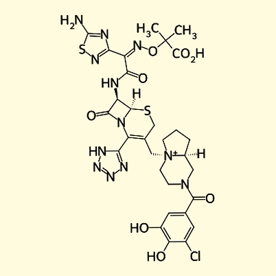 CC(C)(O/N=C(\C(=O)N[C@@H]1C(=O)N2C(c3nnn[nH]3)=C(C[N@+]34CCC[C@H]3CN(C(=O)c3cc(O)c(O)c(Cl)c3)CC4)CS[C@H]12)c1nsc(N)n1)C(=O)O